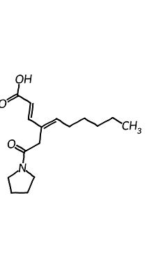 CCCCC/C=C(/C=C/C(=O)O)CC(=O)N1CCCC1